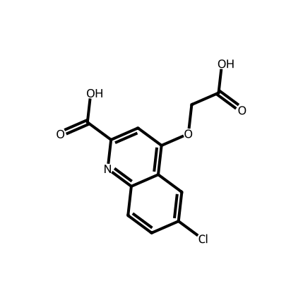 O=C(O)COc1cc(C(=O)O)nc2ccc(Cl)cc12